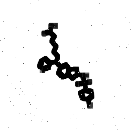 O=C(O)CCCCCC(c1cccnc1)c1ccc2c(c1)CC(NS(=O)(=O)c1ccc(Cl)cc1)C2